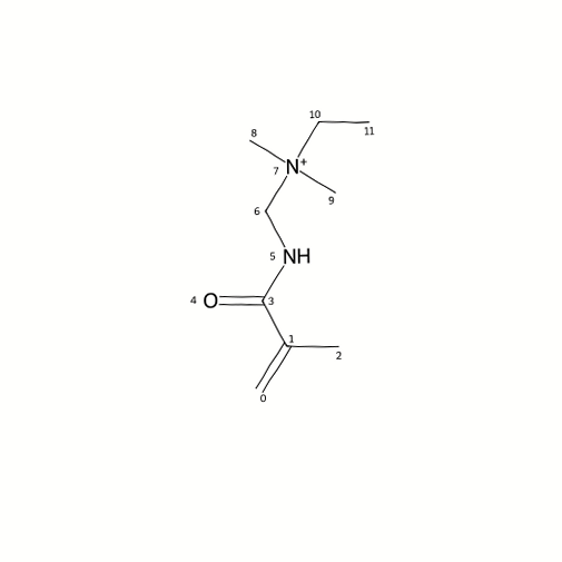 C=C(C)C(=O)NC[N+](C)(C)CC